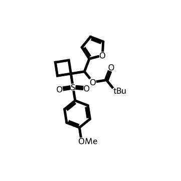 COc1ccc(S(=O)(=O)C2(C(OC(=O)C(C)(C)C)c3ccco3)CCC2)cc1